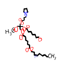 CCCCC/C=C\CCOC(=O)CCCCCC(=O)OCC(COC)(COC(=O)CCCCCC=O)COC(=O)CCCN1CCCC1